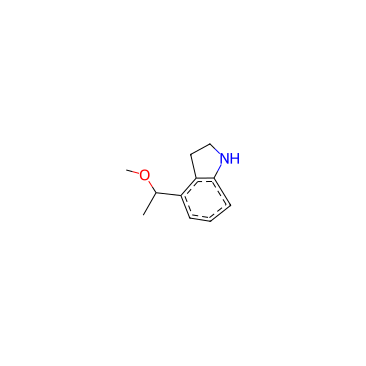 COC(C)c1cccc2c1CCN2